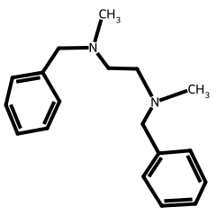 CN(CCN(C)Cc1ccccc1)Cc1ccccc1